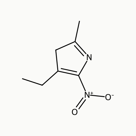 CCC1=C([N+](=O)[O-])N=C(C)C1